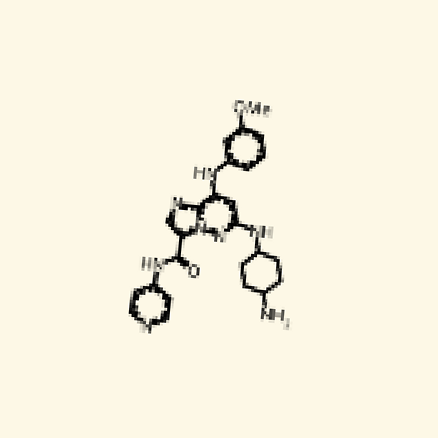 COc1cccc(Nc2cc(NC3CCC(N)CC3)nn3c(C(=O)Nc4ccncc4)cnc23)c1